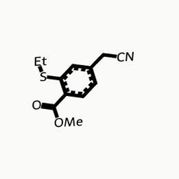 CCSc1cc(CC#N)ccc1C(=O)OC